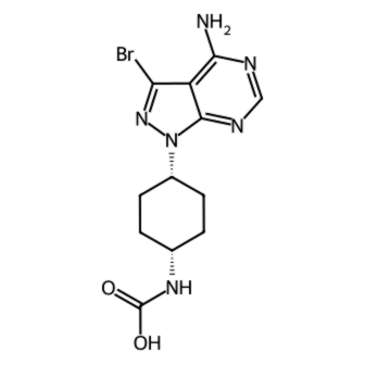 Nc1ncnc2c1c(Br)nn2[C@H]1CC[C@@H](NC(=O)O)CC1